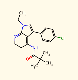 CCn1cc(-c2ccc(Cl)cc2)c2c1=NCCC=2NC(=O)C(C)(C)C